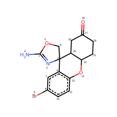 NC1=NC2(CO1)c1cc(Br)ccc1OC1CCC(=O)CC12